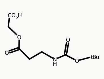 CC(C)(C)OC(=O)NCCC(=O)OCC(=O)O